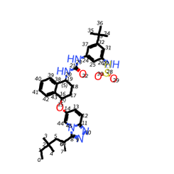 CCC(C)(C)C[C@H](C)c1nnc2ccc(O[C@@H]3CC[C@H](NC(=O)Nc4cc(N[SH](=O)=O)cc(C(C)(C)C)c4)c4ccccc43)cn12